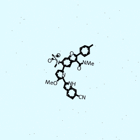 CNC(=O)c1c(-c2ccc(C)cc2)oc2cc(N(C)S(C)(=O)=O)c(-c3ccc(OC)c(-c4cc5ccc(C#N)cc5[nH]4)n3)cc12